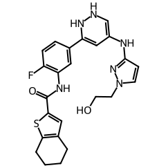 O=C(Nc1cc(C2=CC(Nc3ccn(CCO)n3)=CNN2)ccc1F)c1cc2c(s1)CCCC2